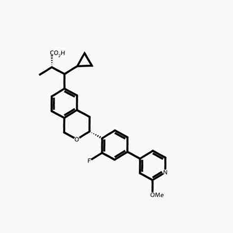 COc1cc(-c2ccc([C@H]3Cc4cc(C(C5CC5)[C@H](C)C(=O)O)ccc4CO3)c(F)c2)ccn1